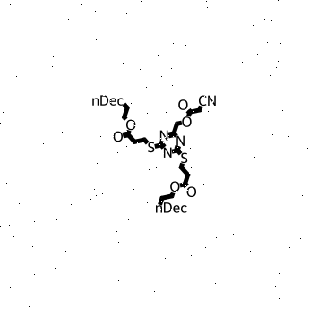 CCCCCCCCCCCCOC(=O)CCSc1nc(COC(=O)CC#N)nc(SCCC(=O)OCCCCCCCCCCCC)n1